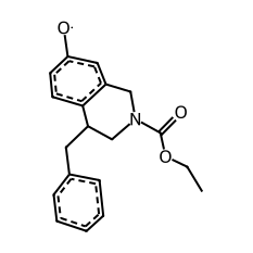 CCOC(=O)N1Cc2cc([O])ccc2C(Cc2ccccc2)C1